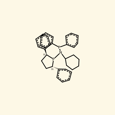 c1ccc([C@@H]2CC[C@@H](c3ccccc3)P2N(C2CCCCC2)P(c2ccccc2)c2ccccc2)cc1